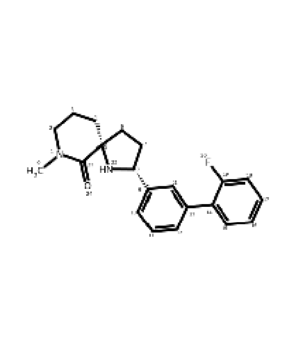 CN1CCC[C@@]2(CC[C@H](c3cccc(-c4ccccc4F)c3)N2)C1=O